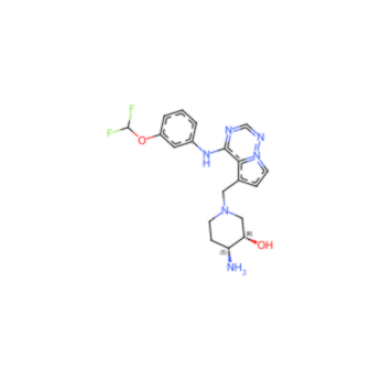 N[C@H]1CCN(Cc2ccn3ncnc(Nc4cccc(OC(F)F)c4)c23)C[C@H]1O